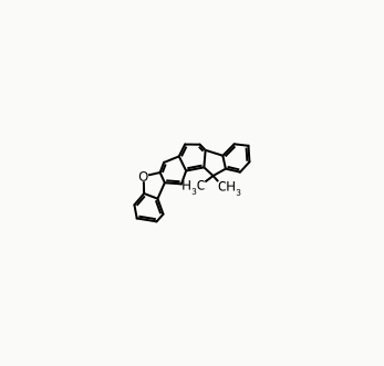 CC1(C)c2ccccc2-c2ccc3cc4oc5ccccc5c4cc3c21